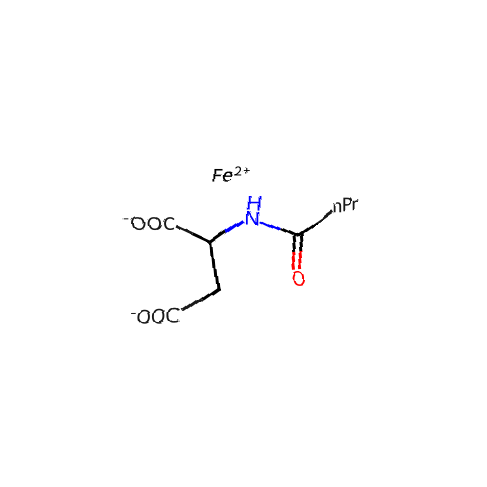 CCCC(=O)NC(CC(=O)[O-])C(=O)[O-].[Fe+2]